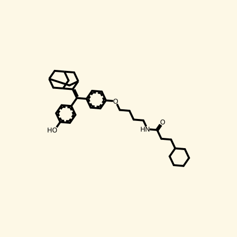 O=C(CCC1CCCCC1)NCCCCOc1ccc(C(=C2C3CC4CC(C3)CC2C4)c2ccc(O)cc2)cc1